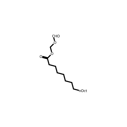 CCCCCCCCCCCCCCCC(=O)OCOC=O